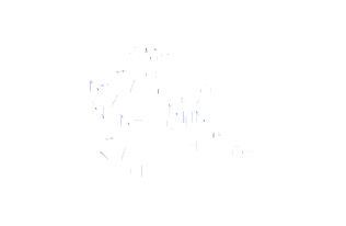 COc1cc2ncnc(Nc3cccc(Cl)c3F)c2cc1O[C@H]1C[C@H](C(=O)NC[C@@H](O)CO)N(C)C1